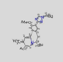 C=C1C=C2c3cc(OC)c(-c4ncn(CCCC)n4)cc3CC(C(C)(C)C)N2C=C1C(C)=O